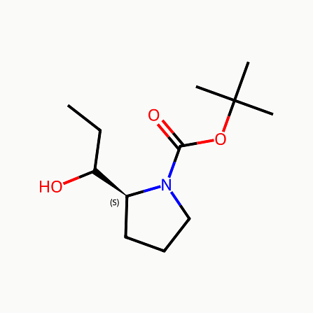 CCC(O)[C@@H]1CCCN1C(=O)OC(C)(C)C